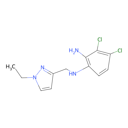 CCn1ccc(CNc2ccc(Cl)c(Cl)c2N)n1